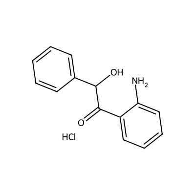 Cl.Nc1ccccc1C(=O)C(O)c1ccccc1